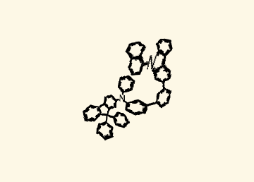 c1ccc(N(c2cccc(-c3cccc(-c4ccc5c6ccccc6n(-c6cccc7ccccc67)c5c4)c3)c2)c2ccc3c(c2)C(c2ccccc2)(c2ccccc2)c2ccccc2-3)cc1